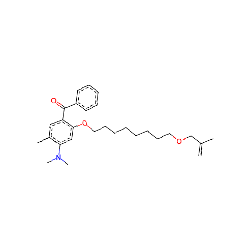 C=C(C)COCCCCCCCCOc1cc(N(C)C)c(C)cc1C(=O)c1ccccc1